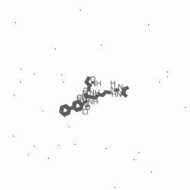 Cc1nc(NCCCCCC(NC(=O)C2CCON2)(NS(=O)(=O)c2c(Cl)cc(-c3ccccc3)cc2Cl)C(=O)O)[nH]c1C